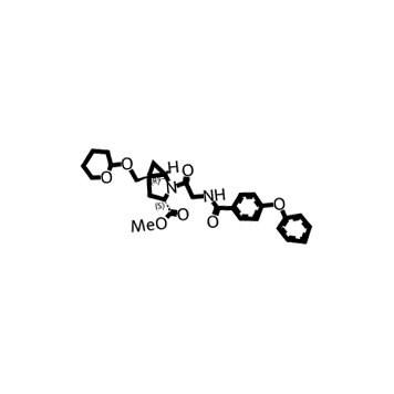 COC(=O)[C@@H]1C[C@]2(COC3CCCCO3)C[C@@H]2N1C(=O)CNC(=O)c1ccc(Oc2ccccc2)cc1